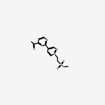 COS(=O)(=O)CC[n+]1ccc(-c2nccc(C(C)=O)n2)cn1